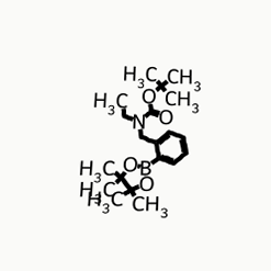 CCN(Cc1ccccc1B1OC(C)(C)C(C)(C)O1)C(=O)OC(C)(C)C